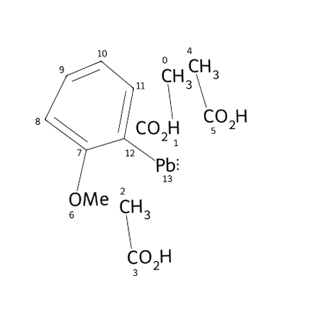 CC(=O)O.CC(=O)O.CC(=O)O.COc1cccc[c]1[Pb]